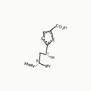 CCOC(=O)c1csc([C@H](O)C[C@@H](NC)C(C)C)n1